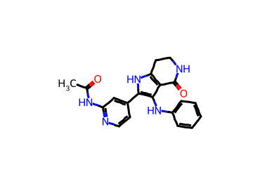 CC(=O)Nc1cc(-c2[nH]c3c(c2Nc2ccccc2)C(=O)NCC3)ccn1